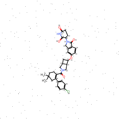 CC1(C)CCC(C(=O)N2CC3CC(Oc4ccc5c(c4)CN(C4CCC(=O)NC4=O)C5=O)C3C2)=C(c2ccc(Cl)cc2)C1